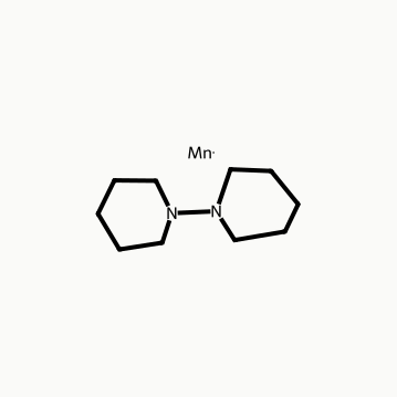 C1CCN(N2CCCCC2)CC1.[Mn]